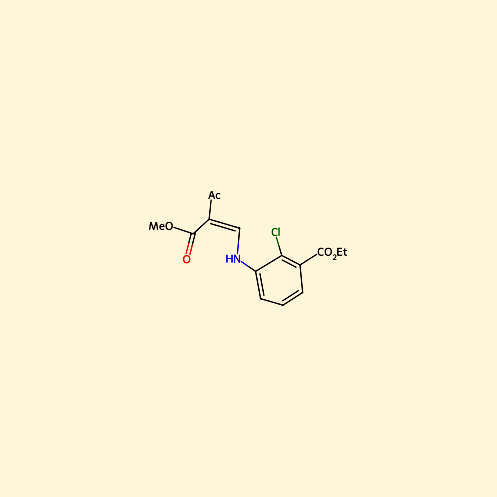 CCOC(=O)c1cccc(NC=C(C(C)=O)C(=O)OC)c1Cl